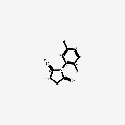 Cc1ccc(C)c(N2C(=O)CCC2=O)c1